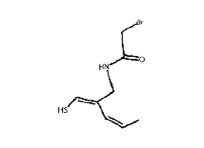 C/C=C\C(=C/S)CNC(=O)CBr